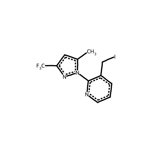 Cc1cc(C(F)(F)F)nn1-c1ncccc1CI